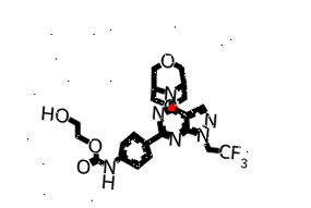 O=C(Nc1ccc(-c2nc(N3C4COCC3COC4)c3cnn(CC(F)(F)F)c3n2)cc1)OCCO